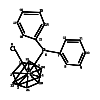 Cl[C]12[CH]3[CH]4[CH]5[C]1(P(c1ccccc1)c1ccccc1)[Fe]43521678[CH]2[CH]1[CH]6[CH]7[CH]28